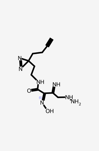 C#CCCC1(CCNC(=O)/C(=N/O)C(=N)CNN)N=N1